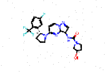 O=C(NC1C=NN2C=CC(N3CCC[C@@H]3c3cc(F)ccc3C(F)(F)F)=NC12)N1CC[C@@H](O)C1